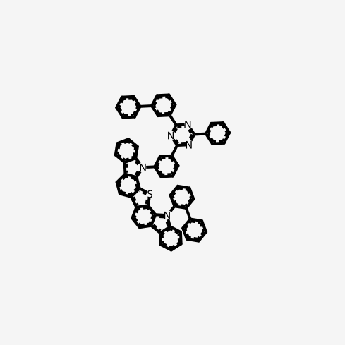 c1ccc(-c2cccc(-c3nc(-c4ccccc4)nc(-c4cccc(-n5c6ccccc6c6ccc7c8ccc9c%10ccccc%10n(-c%10ccccc%10-c%10ccccc%10)c9c8sc7c65)c4)n3)c2)cc1